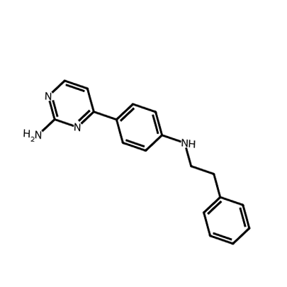 Nc1nccc(-c2ccc(NCCc3ccccc3)cc2)n1